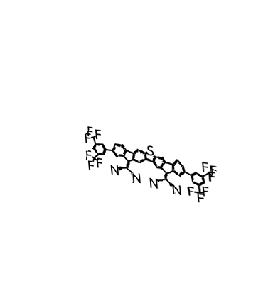 N#CC(C#N)=C1c2cc(-c3cc(C(F)(F)F)cc(C(F)(F)F)c3)ccc2-c2cc3sc4cc5c(cc4c3cc21)C(=C(C#N)C#N)c1cc(-c2cc(C(F)(F)F)cc(C(F)(F)F)c2)ccc1-5